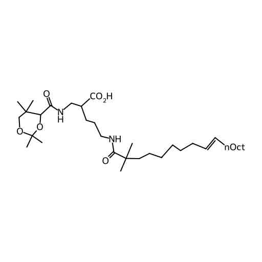 CCCCCCCCC=CCCCCCCC(C)(C)C(=O)NCCCC(CNC(=O)C1OC(C)(C)OCC1(C)C)C(=O)O